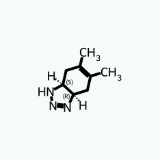 CC1=C(C)C[C@H]2N=NN[C@H]2C1